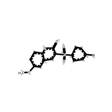 COc1ccc2oc(=O)c(S(=O)(=O)c3ccc(Br)cc3)cc2c1